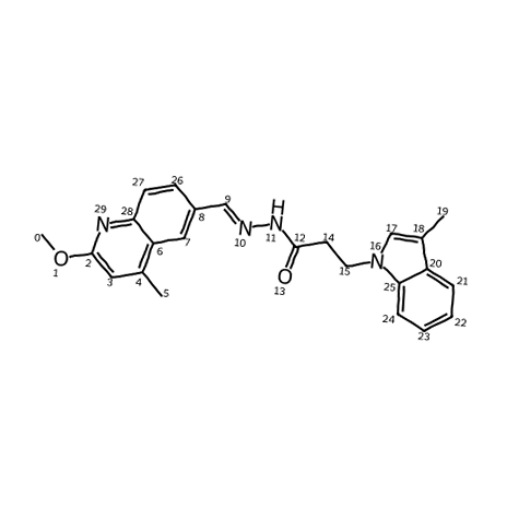 COc1cc(C)c2cc(C=NNC(=O)CCn3cc(C)c4ccccc43)ccc2n1